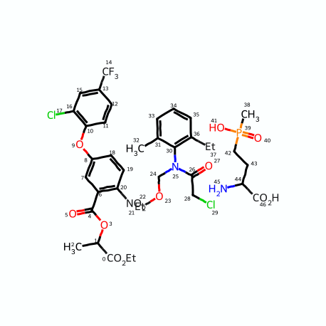 CCOC(=O)C(C)OC(=O)c1cc(Oc2ccc(C(F)(F)F)cc2Cl)ccc1[N+](=O)[O-].CCOCN(C(=O)CCl)c1c(C)cccc1CC.CP(=O)(O)CCC(N)C(=O)O